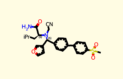 CC(C)C[C@@H](C(N)=O)N(CC#N)[C@@H](c1ccc(-c2ccc(S(C)(=O)=O)cc2)cc1)c1ccoc1